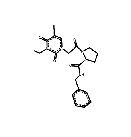 CCn1c(=O)c(C)cn(CC(=O)N2CCC[C@H]2C(=O)NCc2ccccc2)c1=O